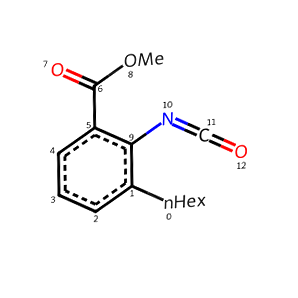 CCCCCCc1cccc(C(=O)OC)c1N=C=O